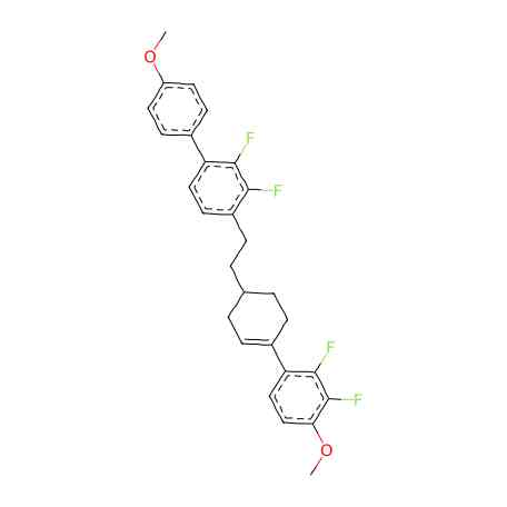 COc1ccc(-c2ccc(CCC3CC=C(c4ccc(OC)c(F)c4F)CC3)c(F)c2F)cc1